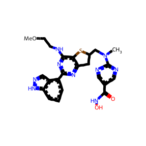 COCCNc1nc(-c2cccc3[nH]ncc23)nc2c1SC(CN(C)c1ncc(C(=O)NO)cn1)C2